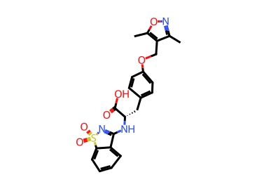 Cc1noc(C)c1COc1ccc(C[C@H](NC2=NS(=O)(=O)c3ccccc32)C(=O)O)cc1